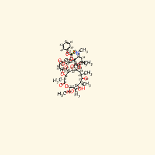 CC[C@H]1OC(=O)[C@H](C)[C@@H](OC2CC3(OC)OC3C(C)O2)[C@H](C)[C@@H](OC2OC(C)CC(N(C)C)C2OC(=S)Oc2ccccc2)[C@@](C)(OC)C[C@@H](C)C(=O)[C@H](C)[C@@H](O)[C@]1(C)O